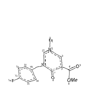 CCn1cc(C(=O)OC)c(=O)c(-c2ccc(F)cc2)c1